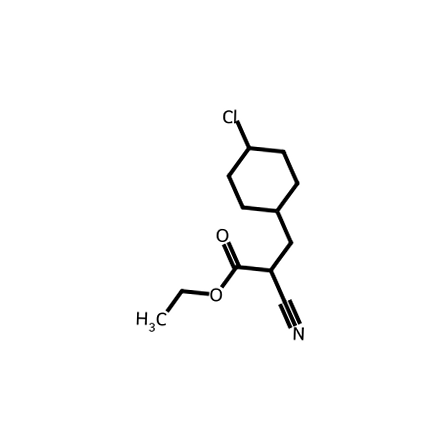 CCOC(=O)C(C#N)CC1CCC(Cl)CC1